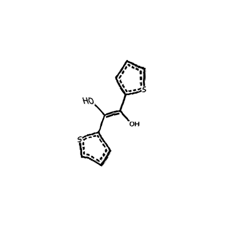 OC(=C(O)c1cccs1)c1cccs1